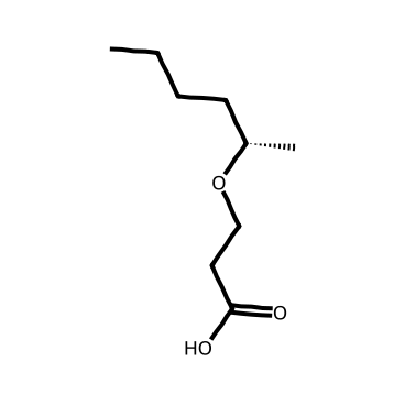 CCCC[C@H](C)OCCC(=O)O